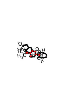 CN(C)C1CCN(S(=O)(=O)N2[C@@H]3CC[C@H]2CC(NC(=O)c2cc4c(cc2Cl)NC(=O)C4)C3)CC1